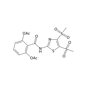 CC(=O)Oc1cccc(OC(C)=O)c1C(=O)Nc1nc(S(C)(=O)=O)c(S(C)(=O)=O)s1